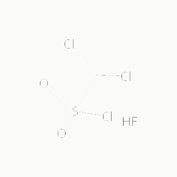 F.O=S(=O)(Cl)C(Cl)Cl